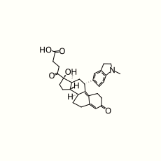 CN1CCc2cc([C@H]3C[C@@]4(C)[C@@H](CC[C@]4(O)C(=O)CCC(=O)O)[C@@H]4CCC5=CC(=O)CCC5=C43)ccc21